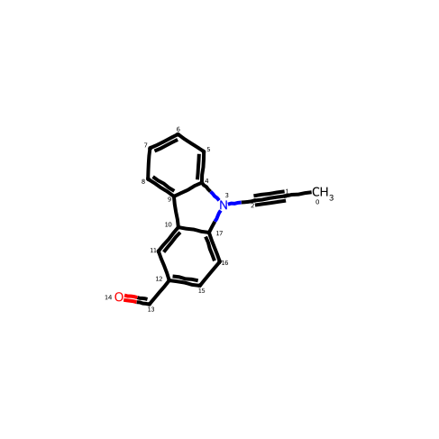 CC#Cn1c2ccccc2c2cc(C=O)ccc21